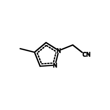 Cc1cnn(CC#N)c1